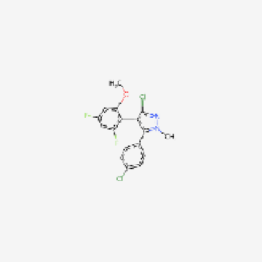 COc1cc(F)cc(F)c1-c1c(Cl)nn(C)c1-c1ccc(Cl)cc1